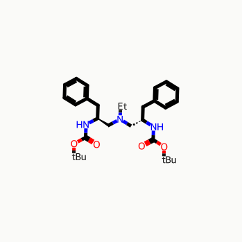 CCN(C[C@H](Cc1ccccc1)NC(=O)OC(C)(C)C)C[C@H](Cc1ccccc1)NC(=O)OC(C)(C)C